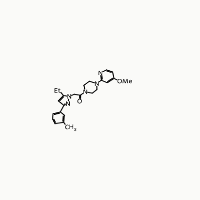 CCc1cc(-c2cccc(C)c2)nn1CC(=O)N1CCN(c2cc(OC)ccn2)CC1